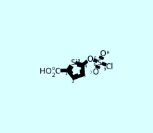 O=C(O)c1ccc(OS(=O)(=O)Cl)s1